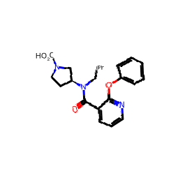 CC(C)CN(C(=O)c1cccnc1Oc1ccccc1)[C@H]1CCN(C(=O)O)C1